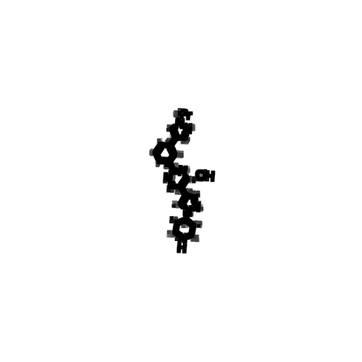 CC(C)n1cc(-c2cccc(-c3ncc(-c4cnn(C5CCNCC5)c4)cn3)c2)cn1.Cl